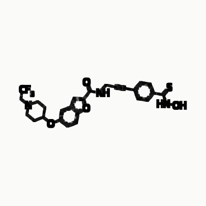 O=C(NCC#Cc1ccc(C(=S)NO)cc1)c1cc2cc(OC3CCN(CC(F)(F)F)CC3)ccc2o1